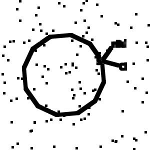 CCCC[Si]1(Cl)CCCCCCCCCCC1